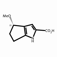 CO[C@H]1CCc2[nH]c(C(=O)O)cc21